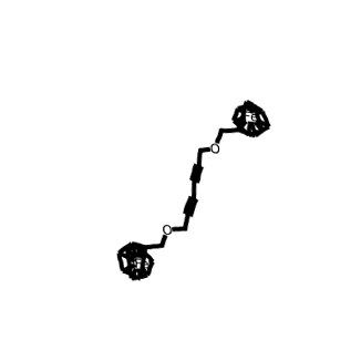 C(C#CCOC[C]12[CH]3[CH]4[CH]5[CH]1[Fe]45321678[CH]2[CH]1[CH]6[CH]7[CH]28)#CCOC[C]12[CH]3[CH]4[CH]5[CH]1[Fe]45321678[CH]2[CH]1[CH]6[CH]7[CH]28